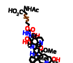 CC[C@]1(O)CC2CN(CCc3c([nH]c4ccccc34)[C@@](C(=O)OC)(c3cc4c(cc3OC)N(C)[C@H]3[C@@](O)(C(=O)NNC(=O)OCCSSC[C@H](NC(C)=O)C(=O)O)[C@H](O)[C@]5(CC)C=CCN6CC[C@]43[C@@H]65)C2)C1